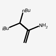 C=C(N)C(CCCC)C(C)CC